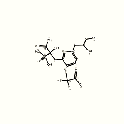 NCC(O)C[n+]1cccc(CC(O)(C(=O)O)P(=O)(O)O)c1.O=C([O-])C(F)(F)F